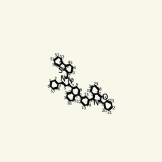 c1ccc(-c2cc(-c3ccc(-c4cccc(-c5nc6c7ccccc7oc6c6ccccc56)c4)c4ccccc34)nc(-c3cccc4c3sc3ccccc34)n2)cc1